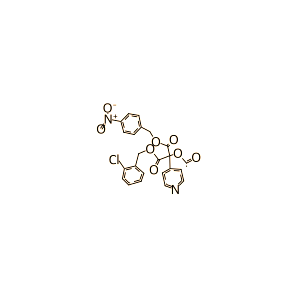 O=[C]OC(C(=O)OCc1ccc([N+](=O)[O-])cc1)(C(=O)OCc1ccccc1Cl)c1ccncc1